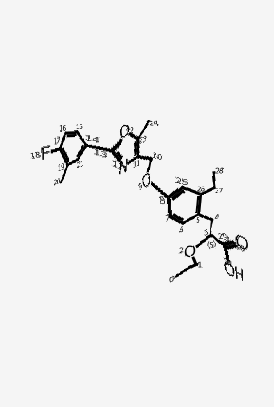 CCO[C@@H](Cc1ccc(OCc2nc(-c3ccc(F)c(C)c3)oc2C)cc1CC)C(=O)O